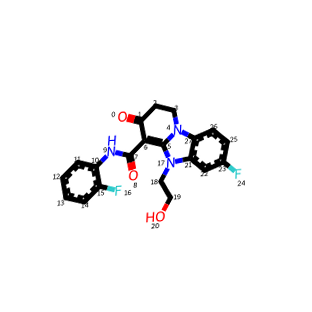 O=C1CCN2C(=C1C(=O)Nc1ccccc1F)N(CCO)c1cc(F)ccc12